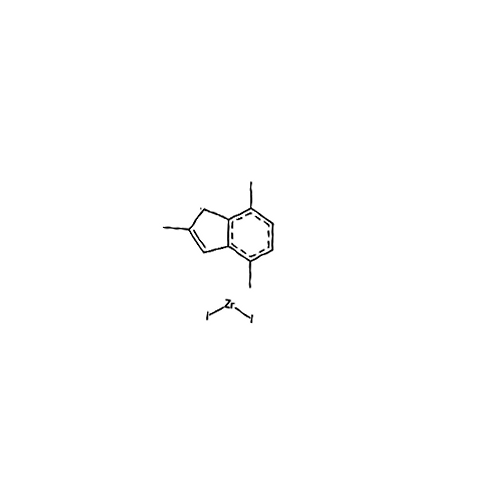 CC1=Cc2c(C)ccc(C)c2[CH]1.[I][Zr][I]